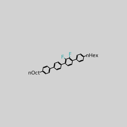 CCCCCCCCc1ccc(-c2ccc(-c3ccc(-c4ccc(CCCCCC)cc4)c(F)c3F)cc2)cc1